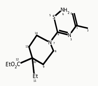 C=C(C)/N=C(\SN)N1CCC(CC)(C(=O)OCC)CC1